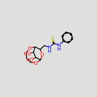 OC1C2OCCCOC(C(CNC(=S)Nc3ccccc3)O2)C1O